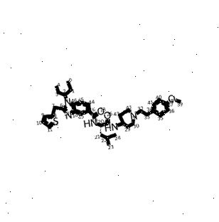 CCC(CC)n1c(Cc2cccs2)nc2cc(C(=O)N[C@@H](CC(C)C)C(=O)NC3CCN(CCc4ccc(OC)cc4)CC3)ccc21